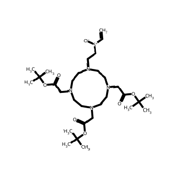 C=C[S+]([O-])CCN1CCN(CC(=O)OC(C)(C)C)CCN(CC(=O)OC(C)(C)C)CCN(CC(=O)OC(C)(C)C)CC1